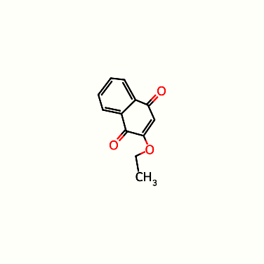 CCOC1=CC(=O)c2ccccc2C1=O